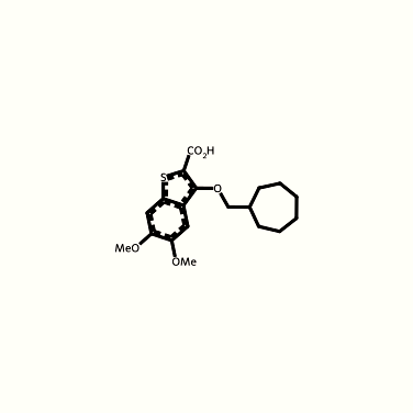 COc1cc2sc(C(=O)O)c(OCC3CCCCCC3)c2cc1OC